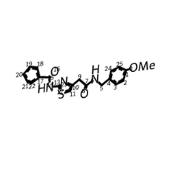 COc1ccc(CNC(=O)Cc2csc(NC(=O)c3ccccc3)n2)cc1